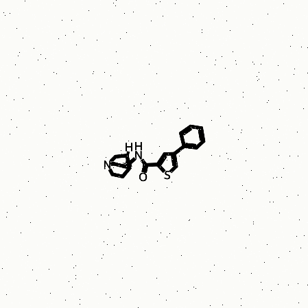 O=C(N[C@H]1CN2CCC1CC2)c1cc(-c2ccccc2)cs1